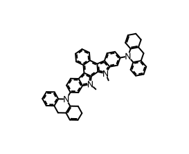 Cn1c2cc(N3C4=C(CCC=C4)Cc4ccccc43)ccc2c2c3ccccc3c3c4ccc(N5C6=C(C=CCC6)Cc6ccccc65)cc4n(C)c3c21